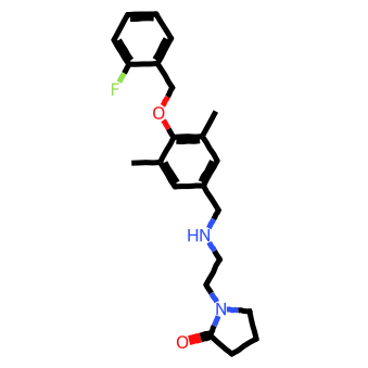 Cc1cc(CNCCN2CCCC2=O)cc(C)c1OCc1ccccc1F